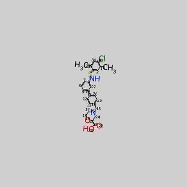 Cc1cc(SNc2cccc(-c3ccc(CN4CCOC(C(=O)O)C4)cc3)c2)c(C)cc1Cl